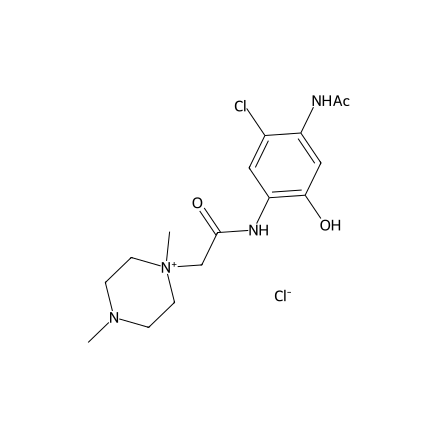 CC(=O)Nc1cc(O)c(NC(=O)C[N+]2(C)CCN(C)CC2)cc1Cl.[Cl-]